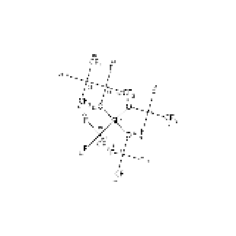 FC(F)(F)C(F)(F)O[Si](OC(F)(F)C(F)(F)F)(OC(F)(C(F)(F)F)C(F)(C(F)(F)F)C(F)(F)F)C(F)(F)C(F)(F)F